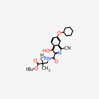 CC(C)(C)OC(=O)C(C)(C)CNC(=O)c1nc(C#N)c2cc(OC3CCCCC3)ccc2c1O